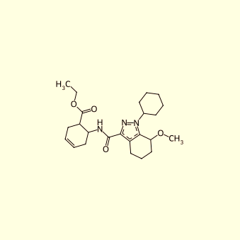 CCOC(=O)C1CC=CCC1NC(=O)c1nn(C2CCCCC2)c2c1CCCC2OC